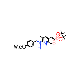 COc1ccc(CNc2nc3cbc(B4OC(C)(C)C(C)(C)O4)cc3cc2C)cc1